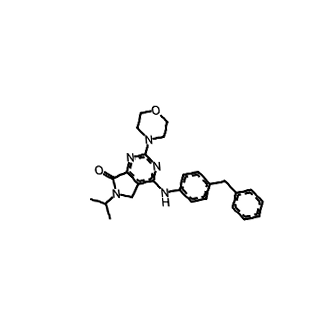 CC(C)N1Cc2c(Nc3ccc(Cc4ccccc4)cc3)nc(N3CCOCC3)nc2C1=O